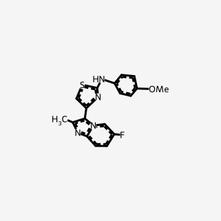 COc1ccc(Nc2nc(-c3c(C)nc4ccc(F)cn34)cs2)cc1